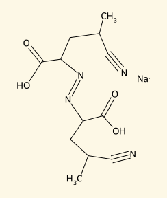 CC(C#N)CC(N=NC(CC(C)C#N)C(=O)O)C(=O)O.[Na]